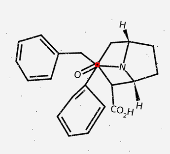 O=C(O)C1C(=O)C[C@@H]2CC[C@H]1N2C(Cc1ccccc1)c1ccccc1